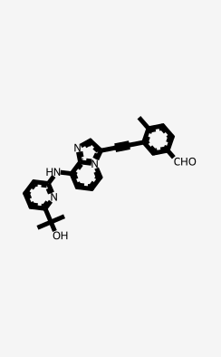 Cc1ccc(C=O)cc1C#Cc1cnc2c(Nc3cccc(C(C)(C)O)n3)cccn12